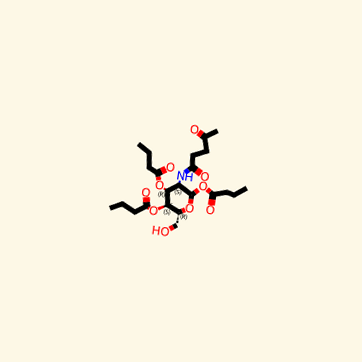 CCCC(=O)OC1O[C@H](CO)[C@@H](OC(=O)CCC)[C@H](OC(=O)CCC)[C@@H]1NC(=O)CCC(C)=O